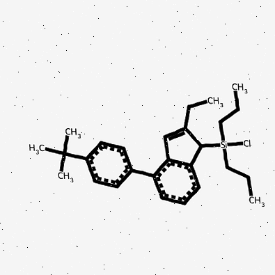 CCC[Si](Cl)(CCC)C1C(CC)=Cc2c(-c3ccc(C(C)(C)C)cc3)cccc21